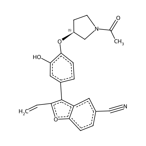 C=Cc1oc2ccc(C#N)cc2c1-c1ccc(O[C@H]2CCN(C(C)=O)C2)c(O)c1